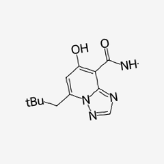 CC(C)(C)Cc1cc(O)c(C([NH])=O)c2ncnn12